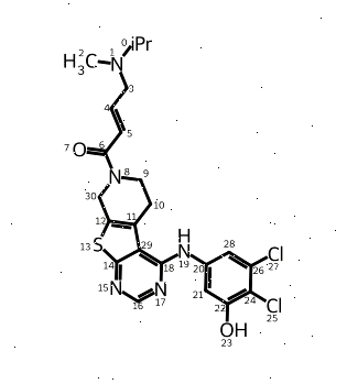 CC(C)N(C)C/C=C/C(=O)N1CCc2c(sc3ncnc(Nc4cc(O)c(Cl)c(Cl)c4)c23)C1